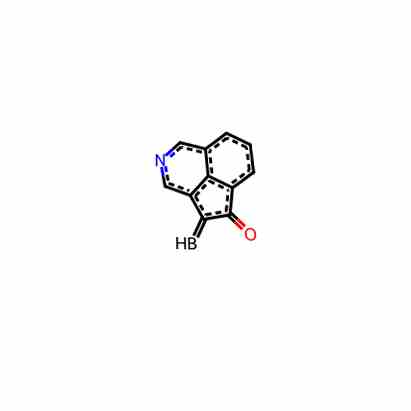 B=c1c(=O)c2cccc3cncc1c32